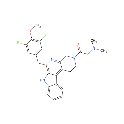 COc1c(F)cc(Cc2nc3c(c4c2[nH]c2ccccc24)CCN(C(=O)CN(C)C)C3)cc1F